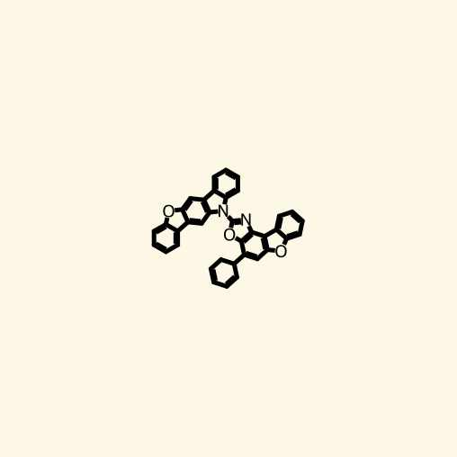 C1=CCC(c2cc3oc4ccccc4c3c3nc(-n4c5ccccc5c5cc6oc7ccccc7c6cc54)oc23)C=C1